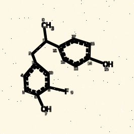 CC(Cc1ccc(O)c(F)c1)c1ccc(O)cc1